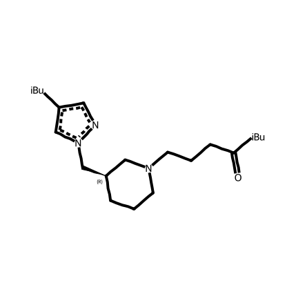 CCC(C)C(=O)CCCN1CCC[C@@H](Cn2cc(C(C)CC)cn2)C1